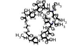 CCN(Cc1cc[n+](CC2=C(C(=O)O)N3C(=O)C(NC(=O)/C(=N\OC)c4csc(N)n4)C3SC2)cc1)C(=O)CSCCSCC(=O)N(CC)c1ccc[n+](CC2=C(C(=O)O)N3C(=O)C(NC(=O)/C(=N\OC)c4csc(N)n4)C3SC2)c1